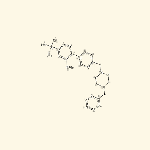 COc1cc(C(O)(C(F)(F)F)C(F)(F)F)ccc1-c1ccc(CN2CCN(Cc3ccncc3)CC2)cc1